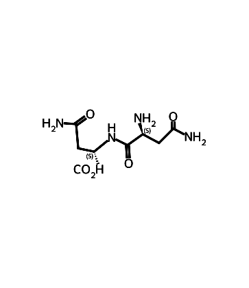 NC(=O)C[C@H](NC(=O)[C@@H](N)CC(N)=O)C(=O)O